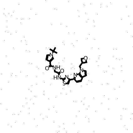 CC(C)(C)n1ccc(C(=O)NCC(=O)Nc2nc(-c3ccc4ccn(CC5COC5)c4n3)cs2)c1